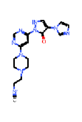 [C-]#[N+]CCN1CCN(c2cc(-n3[nH]cc(-n4ccnc4)c3=O)ncn2)CC1